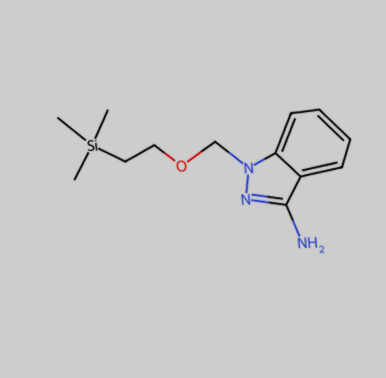 C[Si](C)(C)CCOCn1nc(N)c2ccccc21